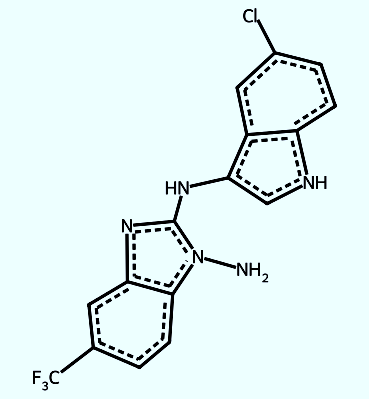 Nn1c(Nc2c[nH]c3ccc(Cl)cc23)nc2cc(C(F)(F)F)ccc21